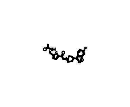 CC(=O)NCc1ccc(C(=O)CN2CCC(c3noc4cc(F)ccc34)CC2)s1